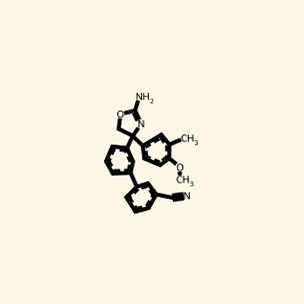 COc1ccc(C2(c3cccc(-c4cccc(C#N)c4)c3)COC(N)=N2)cc1C